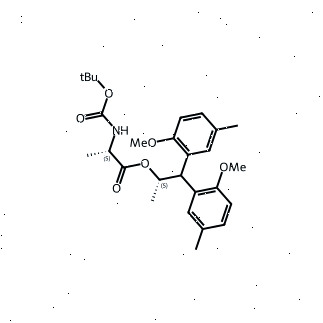 COc1ccc(C)cc1C(c1cc(C)ccc1OC)[C@H](C)OC(=O)[C@H](C)NC(=O)OC(C)(C)C